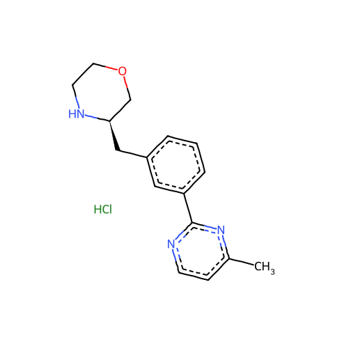 Cc1ccnc(-c2cccc(C[C@@H]3COCCN3)c2)n1.Cl